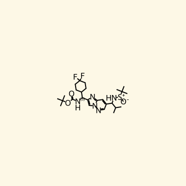 CC(C)C(N[S+]([O-])C(C)(C)C)c1cnn2cc([C@@H](NC(=O)OC(C)(C)C)C3CCC(F)(F)CC3)nc2c1